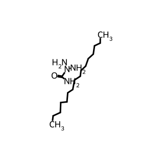 CCCCCCCCCCCCCCCC.NC(=O)N(N)N